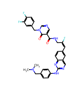 CN(C)Cc1ccc(Nc2ncc3cc(/C=C(/F)CNC(=O)c4cncn(Cc5ccc(F)c(F)c5)c4=O)ccc3n2)cc1